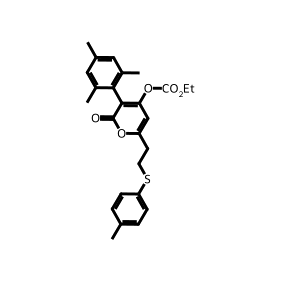 CCOC(=O)Oc1cc(CCSc2ccc(C)cc2)oc(=O)c1-c1c(C)cc(C)cc1C